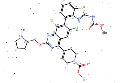 CN1CCC[C@H]1COc1nc(C2=CCN(C(=O)OC(C)(C)C)CC2)c2cc(Cl)c(-c3cccc4sc(NC(=O)OC(C)(C)C)nc34)c(F)c2n1